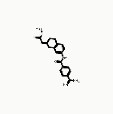 CC(C)(C)OC(=O)CC1CCc2ccc(NC(=O)c3ccc(C(=N)N)cc3)cc2C1